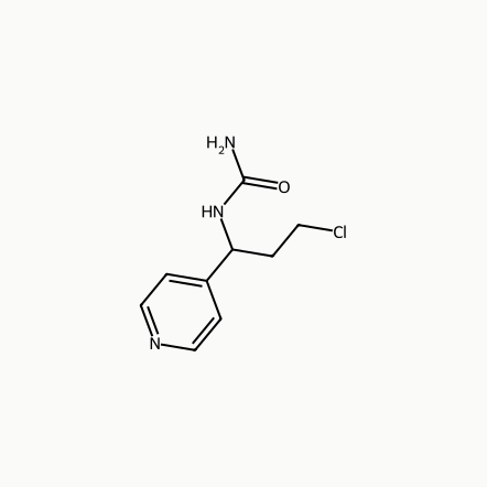 NC(=O)NC(CCCl)c1ccncc1